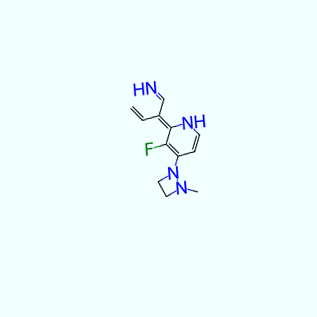 C=C/C(C=N)=C1/NC=CC(N2CCN2C)=C1F